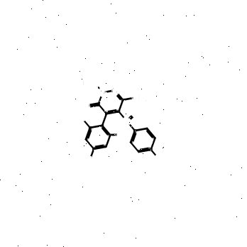 CCc1cc(C)cc(CC)c1-c1c(S(=O)(=O)c2ccc(C)cc2)c(C)nn(C)c1=O